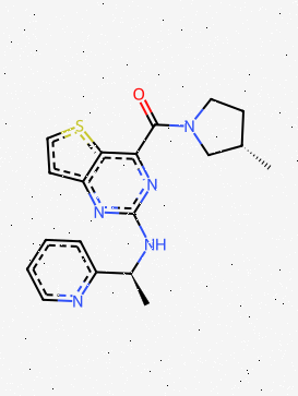 C[C@H]1CCN(C(=O)c2nc(N[C@@H](C)c3ccccn3)nc3ccsc23)C1